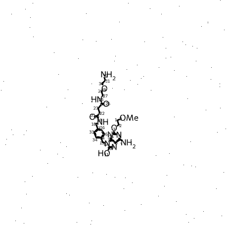 COCCOc1nc(N)c2nc(O)n(Cc3ccc(CNC(=O)CCC(=O)NCCOCCN)cc3)c2n1